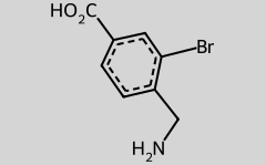 NCc1ccc(C(=O)O)cc1Br